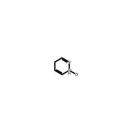 [O-][NH+]1C=CCC=N1